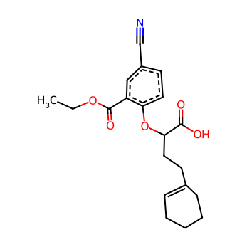 CCOC(=O)c1cc(C#N)ccc1OC(CCC1=CCCCC1)C(=O)O